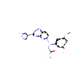 COc1cc(OC)cc(N(CC(=O)NN)c2ccc3ncc(-c4cnn(C)c4)nc3n2)c1